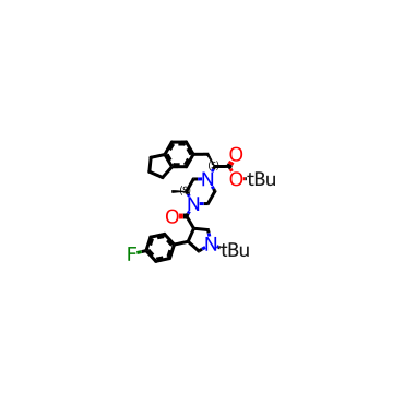 C[C@H]1CN([C@@H](Cc2ccc3c(c2)CCC3)C(=O)OC(C)(C)C)CCN1C(=O)C1CN(C(C)(C)C)CC1c1ccc(F)cc1